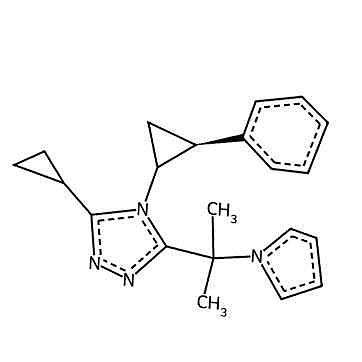 CC(C)(c1nnc(C2CC2)n1C1C[C@H]1c1ccccc1)n1cccc1